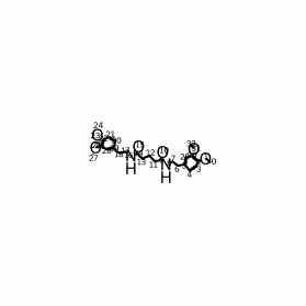 COc1ccc(CCNC(=O)CCCC(=O)NCCc2ccc(OC)c(OC)c2)cc1OC